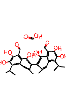 Cc1cc2c(C(C)C)c(O)c(O)c(C=O)c2c(O)c1-c1c(C)cc2c(C(C)C)c(O)c(O)c(C=O)c2c1O.O=CO